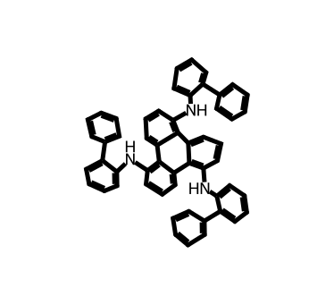 c1ccc(-c2ccccc2Nc2cccc3c2c2cccc(Nc4ccccc4-c4ccccc4)c2c2cccc(Nc4ccccc4-c4ccccc4)c32)cc1